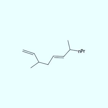 C=CC(C)CC=CC(C)CCC